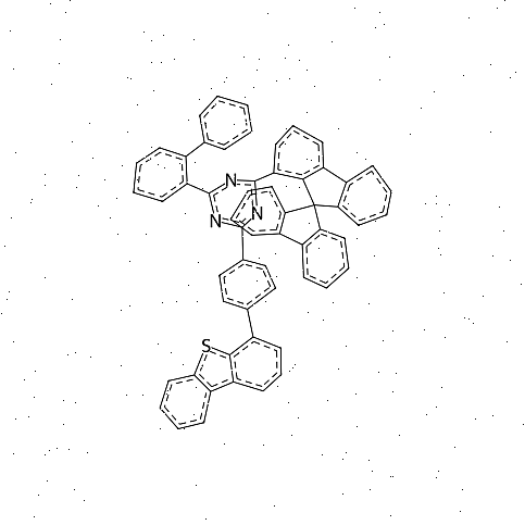 c1ccc(-c2ccccc2-c2nc(-c3ccc(-c4cccc5c4sc4ccccc45)cc3)nc(-c3cccc4c3C3(c5ccccc5-c5ccccc53)c3ccccc3-4)n2)cc1